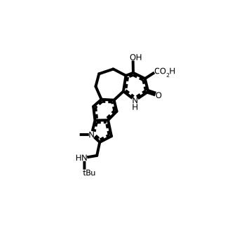 Cn1c(CNC(C)(C)C)cc2cc3c(cc21)CCCc1c-3[nH]c(=O)c(C(=O)O)c1O